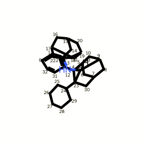 c1ccc(C2C3CC4CC(C3)[C@H](NC35CC6CC(CC(C6)C3)C5)C2(C2CCCCC2)C4)cc1